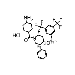 C[C@H](O[C@H]1CCN(C(=O)C2CCC(N)CC2)C[C@H]1c1ccccc1)c1cc(C(F)(F)F)cc(C(F)(F)F)c1.Cl